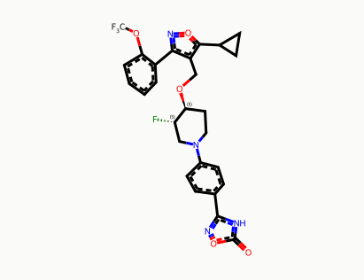 O=c1[nH]c(-c2ccc(N3CC[C@H](OCc4c(-c5ccccc5OC(F)(F)F)noc4C4CC4)[C@@H](F)C3)cc2)no1